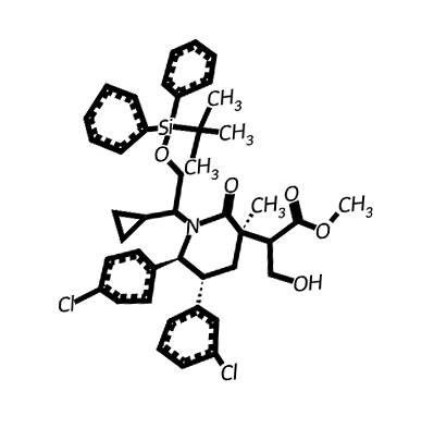 COC(=O)C(CO)[C@@]1(C)C[C@H](c2cccc(Cl)c2)[C@@H](c2ccc(Cl)cc2)N(C(CO[Si](c2ccccc2)(c2ccccc2)C(C)(C)C)C2CC2)C1=O